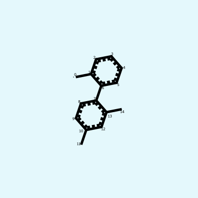 [CH2]c1ccccc1-c1ccc(C)cc1C